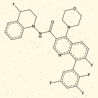 O=C(NN1CCC(F)c2ccccc21)c1cnc2c(-c3cc(F)cc(F)c3F)c(F)ccc2c1N1CCOCC1